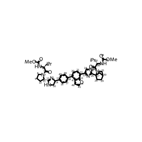 COC(=O)N[C@H](C(=O)N1CCC[C@H]1C1=NC(c2ccc(-c3ccc(-c4c[nH]c(C56CCC(CN5C(=O)[C@@H](NC(=O)OC)C(C)C)C6)n4)c4occc34)cc2)CN1)C(C)C